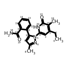 CCc1cc(-n2nc(C)cc2-c2ccccc2C(N)=O)[nH]c(=O)c1C